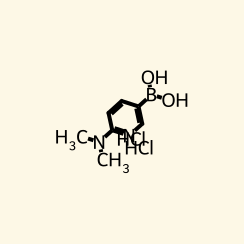 CN(C)c1ccc(B(O)O)cn1.Cl.Cl